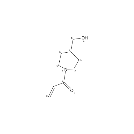 C=CC(=O)N1CCC(CO)CC1